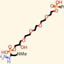 CNCC(NN)P(=O)(O)OCC(O)COCCOCCOCCOCCOP(=O)(O)C(C)C